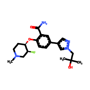 CN1CC[C@H](Oc2ccc(-c3cnn(CC(C)(C)O)c3)cc2C(N)=O)[C@@H](F)C1